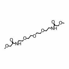 COCC(=O)NCCOCCOCCOCCNC(=O)COC